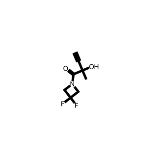 C#CC(C)(O)C(=O)N1CC(F)(F)C1